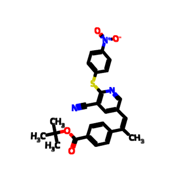 CC(=Cc1cnc(Sc2ccc([N+](=O)[O-])cc2)c(C#N)c1)c1ccc(C(=O)OC(C)(C)C)cc1